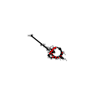 COc1ccc(C[C@@H]2NC(=O)[C@H]([C@@H](C)O)NC(=O)[C@@H]3[C@@H]4CCCN3C(=O)[C@@H]3Cc5cn(c6ccc(F)cc56)CCCCCCN(Cc5ccc(cc5)CCNC(=O)[C@]5(C)CCCN5C2=O)C(=O)CCC(=O)N[C@@H](C)C(=O)N[C@H](CNC(=O)CCOCCOCCNC(=O)CCCCCCCCCCCCCCCCC(=O)O)C(=O)N[C@@H](Cc2cccc(c2)CNC(=O)CO4)C(=O)N3)cc1